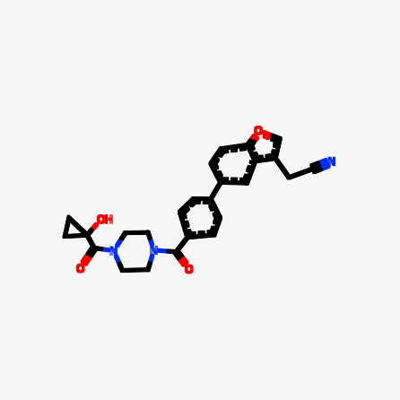 N#CCc1coc2ccc(-c3ccc(C(=O)N4CCN(C(=O)C5(O)CC5)CC4)cc3)cc12